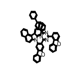 c1ccc(-c2ccc(-c3nc(-c4cc5oc6ccccc6c5cc4-n4c5cc6ccccc6cc5c5c6ccccc6ccc54)nc(-c4cccc5oc6ccccc6c45)n3)cc2)cc1